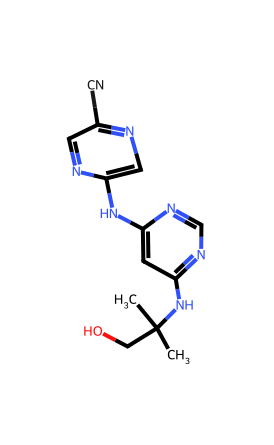 CC(C)(CO)Nc1cc(Nc2cnc(C#N)cn2)ncn1